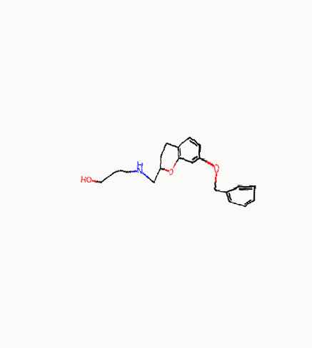 OCCCNCC1CCc2ccc(OCc3ccccc3)cc2O1